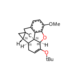 COc1ccc2c3c1O[C@H]1C(OC(C)(C)C)=CC[C@H]4[C@@H]5CC5(C2)C[C@]314